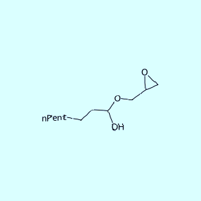 CCCCCCCC(O)OCC1CO1